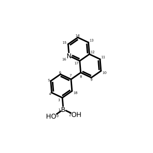 OB(O)c1cccc(-c2cccc3cccnc23)c1